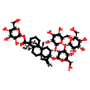 C=C1C[C@]23CC[C@@H]4[C@](C)(CCC[C@]4(C)C(=O)O[C@@H]4O[C@H](CO)[C@@H](O)[C@H](O)[C@H]4O)[C@H]2CC[C@@]1(O[C@@H]1O[C@H](CO)[C@@H](O)[C@H](O[C@@H]2O[C@H](CO)[C@@H](O)[C@H](O)[C@H]2O)[C@H]1O[C@@H]1O[C@H](CO)[C@@H](O)[C@H](O)[C@H]1O)C3